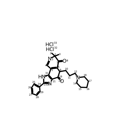 CC1(C)N=CC2=C(C1=O)C(CCCN1CCCCC1)C(=O)c1nc(-c3ccccc3)[nH]c12.Cl.Cl